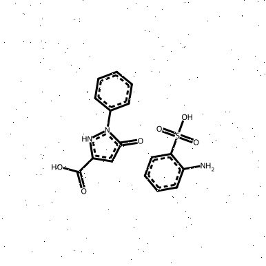 Nc1ccccc1S(=O)(=O)O.O=C(O)c1cc(=O)n(-c2ccccc2)[nH]1